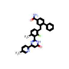 NC(=O)c1ccc(-c2ccccc2)c(Cc2ccc(C(F)(F)F)c(-c3nc(-c4ccc(C(F)(F)F)cn4)cc(=O)[nH]3)c2F)c1